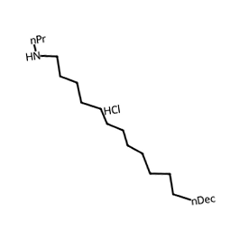 CCCCCCCCCCCCCCCCCCCCCCNCCC.Cl